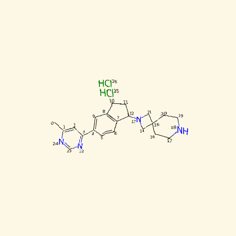 Cc1cc(-c2ccc3c(c2)CCC3N2CC3(CCNCC3)C2)ncn1.Cl.Cl